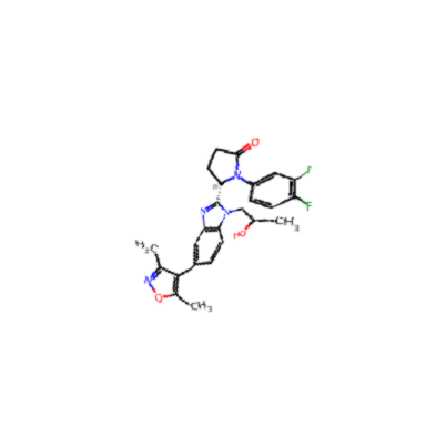 Cc1noc(C)c1-c1ccc2c(c1)nc([C@@H]1CCC(=O)N1c1ccc(F)c(F)c1)n2CC(C)O